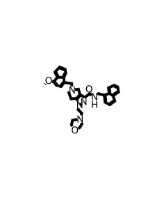 COc1ccc(CN2CCc3c(c(C(=O)NCc4cccc5ccccc45)nn3CCN3CCOCC3)C2)c2ccccc12